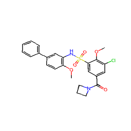 COc1ccc(-c2ccccc2)cc1NS(=O)(=O)c1cc(C(=O)N2CCC2)cc(Cl)c1OC